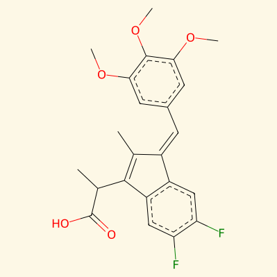 COc1cc(C=C2C(C)=C(C(C)C(=O)O)c3cc(F)c(F)cc32)cc(OC)c1OC